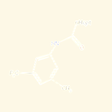 CCCCCCCC(=O)Nc1cc(C)cc(C(F)(F)F)c1